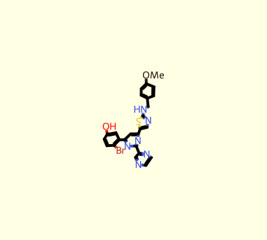 COc1ccc(CNc2ncc(-c3cc(-c4cc(O)ccc4Br)nc(-c4cnccn4)n3)s2)cc1